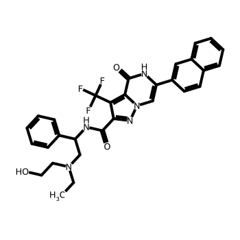 CCN(CCO)CC(NC(=O)c1nn2cc(-c3ccc4ccccc4c3)[nH]c(=O)c2c1C(F)(F)F)c1ccccc1